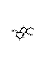 CCc1ccc2c(O)cccc2c1O